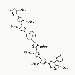 CCCCCCCCC1(CCCCCCCC)c2ccc(C)cc2-c2cc(-c3cc(CCCCCC)c(-c4cc(CCCCCC)c(-c5sc(-c6ccc(-c7cc(CCCCCC)c(-c8sc(-c9sc(C)cc9CCCCCC)cc8CCCCCC)s7)c7c6=NCC=7)cc5CCCCCC)s4)s3)ccc21